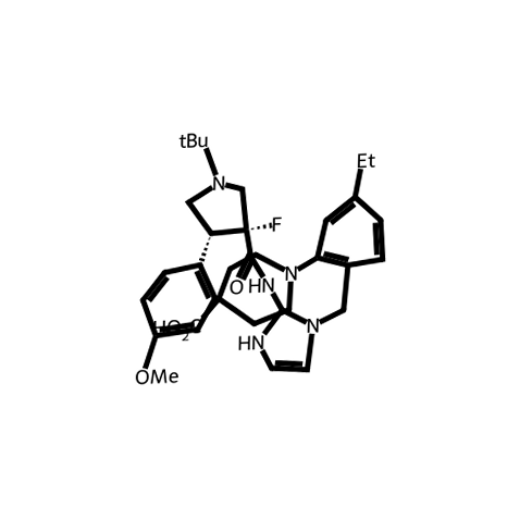 CCc1ccc(CN2C=CNC2NC(=O)[C@]2(F)CN(C(C)(C)C)C[C@H]2c2ccc(OC)cc2)c(N2CCC(C(=O)O)CC2)c1